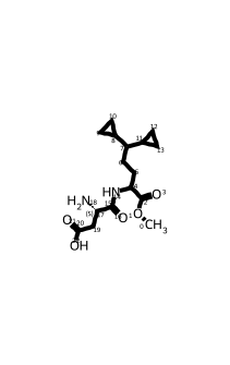 COC(=O)C(CCC(C1CC1)C1CC1)NC(=O)[C@@H](N)CC(=O)O